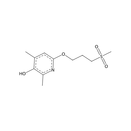 Cc1cc(OCCCS(C)(=O)=O)nc(C)c1O